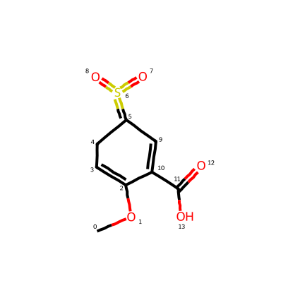 COC1=CCC(=S(=O)=O)C=C1C(=O)O